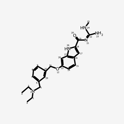 CCN(CC)Cc1cccc(COc2ccc3cc(C(=O)N=C(N)NC)[nH]c3c2)c1